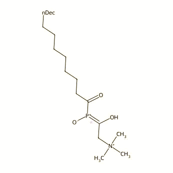 CCCCCCCCCCCCCCCCCC(=O)/[P+]([O-])=C(\O)C[N+](C)(C)C